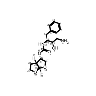 NC[C@@H](O)[C@H](Cc1ccccc1)NC(=O)O[C@@H]1CO[C@@H]2OCC[C@@H]21